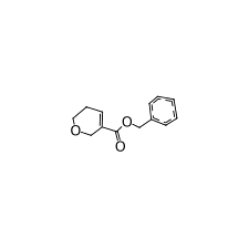 O=C(OCc1ccccc1)C1=CCCOC1